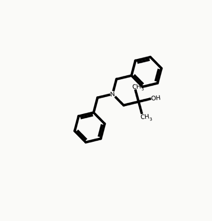 CC(C)(O)CN(Cc1ccccc1)Cc1ccccc1